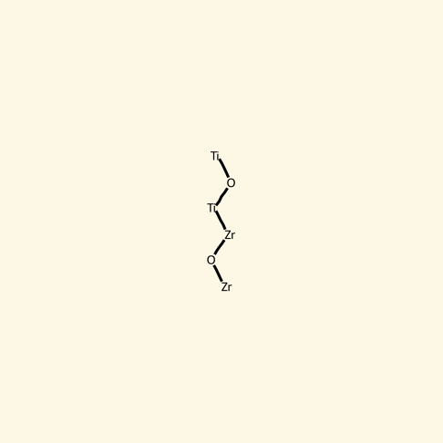 [Ti][O][Ti][Zr][O][Zr]